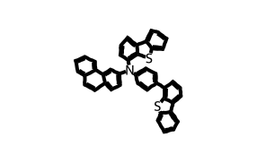 c1ccc2c(c1)ccc1ccc(N(c3ccc(-c4cccc5c4sc4ccccc45)cc3)c3cccc4c3sc3ccccc34)cc12